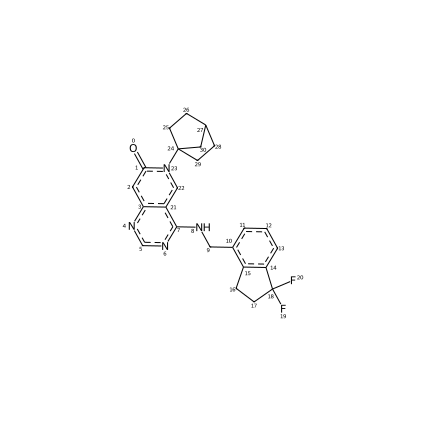 O=c1cc2ncnc(NCc3cccc4c3CCC4(F)F)c2cn1C12CCC(CC1)C2